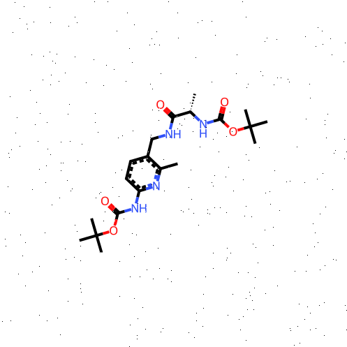 Cc1nc(NC(=O)OC(C)(C)C)ccc1CNC(=O)[C@H](C)NC(=O)OC(C)(C)C